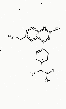 CCc1ccc2nc(F)cc(C3=CCC(C(C)C(=O)O)CC3)c2c1